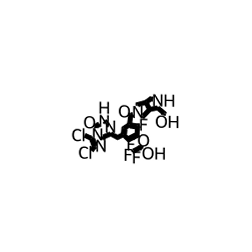 O=C(O)C(F)(F)F.O=C(c1cc(Cc2n[nH]c(=O)n3c(Cl)c(Cl)nc23)ccc1F)N1CC2CNC(CO)C2C1